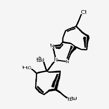 CC(C)(C)C1=CC(n2nc3ccc(Cl)cc3n2)(C(C)(C)C)C(O)C=C1